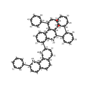 c1ccc(-c2ccc3ccc4ccc(-c5cccc6c5nc(-c5ccccc5-c5ccccc5)c5cccc(-c7ccccc7)c56)nc4c3n2)cc1